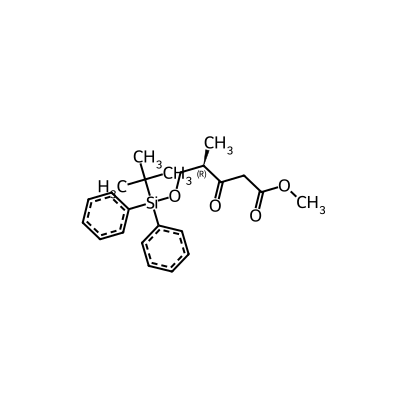 COC(=O)CC(=O)[C@H](C)CO[Si](c1ccccc1)(c1ccccc1)C(C)(C)C